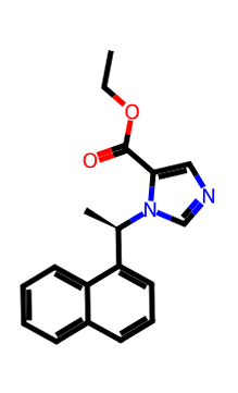 CCOC(=O)c1cncn1[C@H](C)c1cccc2ccccc12